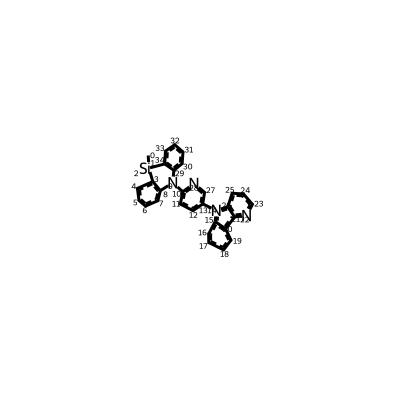 C[Si]1(C)c2ccccc2N(c2ccc(-n3c4ccccc4c4ncccc43)cn2)c2ccccc21